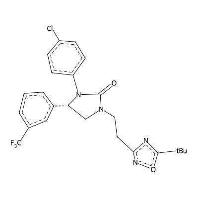 CC(C)(C)c1nc(CCN2C[C@H](c3cccc(C(F)(F)F)c3)N(c3ccc(Cl)cc3)C2=O)no1